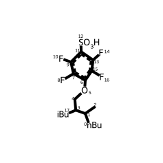 CCCCC(C)C(COc1c(F)c(F)c(S(=O)(=O)O)c(F)c1F)C(C)CC